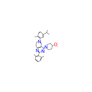 COC1CCN(c2nc(-c3c(C)cccc3C)nc3c2CN(c2cc(C(C)C)ccc2C)CC3)CC1